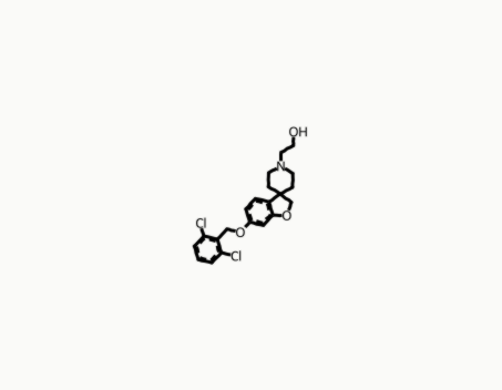 OCCN1CCC2(CC1)COc1cc(OCc3c(Cl)cccc3Cl)ccc12